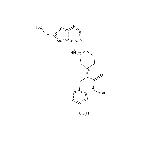 CC(C)(C)OC(=O)N(Cc1ccc(C(=O)O)cc1)[C@H]1CCC[C@@H](Nc2ncnc3sc(CC(F)(F)F)cc23)C1